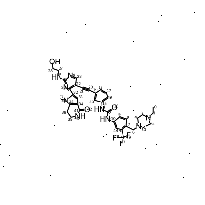 CCN1CCN(Cc2ccc(NC(=O)Nc3cccc(C#Cc4cnc(NCCO)nc4-c4cc5c(n4C)CCNC5=O)c3)cc2C(F)(F)F)CC1